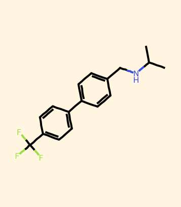 CC(C)NCc1ccc(-c2ccc(C(F)(F)F)cc2)cc1